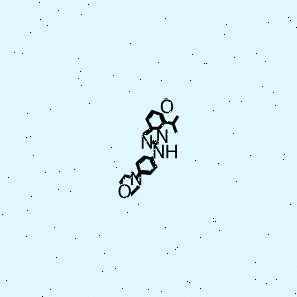 COc1ccc2cnc(Nc3ccc(N4CCOCC4)cc3)nc2c1C(C)C